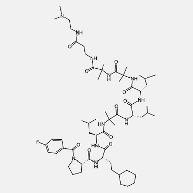 CC(C)C[C@H](NC(=O)[C@H](CCC1CCCCC1)NC(=O)[C@@H]1CCCN1C(=O)c1ccc(F)cc1)C(=O)NC(C)(C)C(=O)N[C@@H](CC(C)C)C(=O)N[C@@H](CC(C)C)C(=O)NC(C)(C)C(=O)NC(C)(C)C(=O)NCCC(=O)NCCN(C)C